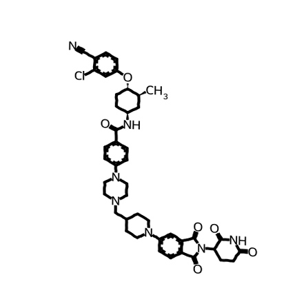 C[C@H]1C[C@@H](NC(=O)c2ccc(N3CCN(CC4CCN(c5ccc6c(c5)C(=O)N(C5CCC(=O)NC5=O)C6=O)CC4)CC3)cc2)CC[C@@H]1Oc1ccc(C#N)c(Cl)c1